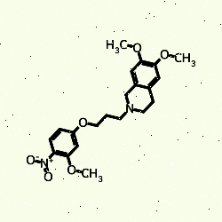 COc1cc2c(cc1OC)CN(CCCOc1ccc([N+](=O)[O-])c(OC)c1)CC2